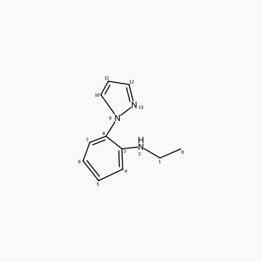 CCNc1ccccc1-n1cccn1